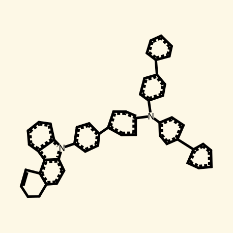 C1=Cc2c(ccc3c2c2ccccc2n3-c2ccc(-c3ccc(N(c4ccc(-c5ccccc5)cc4)c4ccc(-c5ccccc5)cc4)cc3)cc2)CC1